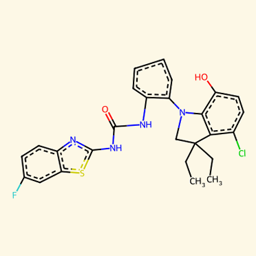 CCC1(CC)CN(c2ccccc2NC(=O)Nc2nc3ccc(F)cc3s2)c2c(O)ccc(Cl)c21